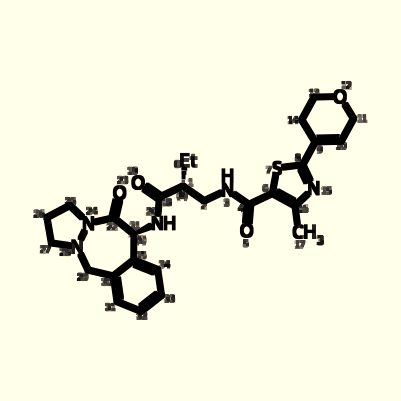 CC[C@H](CNC(=O)c1sc(C2=CCOCC2)nc1C)C(=O)N[C@@H]1C(=O)N2CCCN2Cc2ccccc21